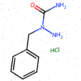 Cl.NC(=O)N(N)Cc1ccccc1